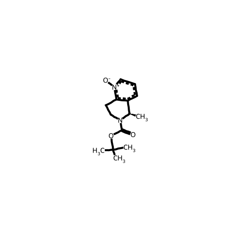 C[C@@H]1c2ccc[n+]([O-])c2CCN1C(=O)OC(C)(C)C